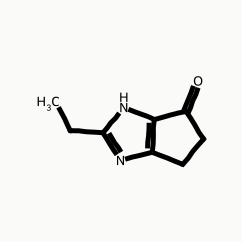 CCc1nc2c([nH]1)C(=O)CC2